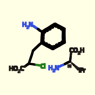 CC(C)[C@H](N)C(=O)O.Nc1ccccc1CC(Cl)C(=O)O